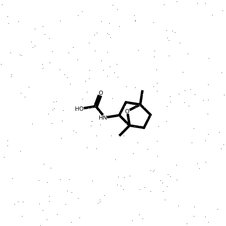 CC12CCC(C)(O1)C(NC(=O)O)C2